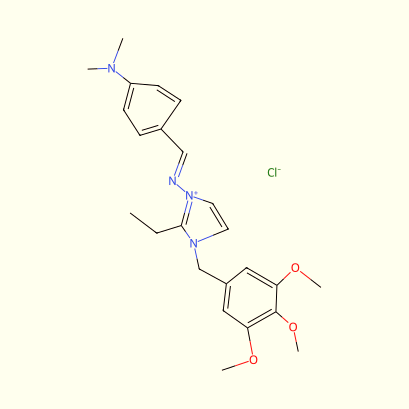 CCc1n(Cc2cc(OC)c(OC)c(OC)c2)cc[n+]1/N=C/c1ccc(N(C)C)cc1.[Cl-]